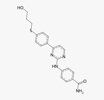 NC(=O)c1ccc(Nc2nccc(-c3ccc(SCCCO)cc3)n2)cc1